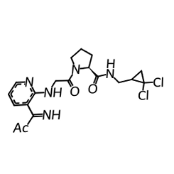 CC(=O)C(=N)c1cccnc1NCC(=O)N1CCC[C@H]1C(=O)NCC1CC1(Cl)Cl